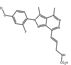 CCOc1ccc(-n2nc3c(C=CCNC(=O)O)nnc(C)c3c2C)c(F)c1